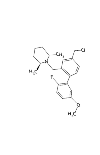 COc1ccc(F)c(-c2ccc(CCl)cc2CN2[C@@H](C)CCC[C@@H]2C)c1